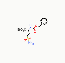 CCOC(=O)C(CCS(N)(=O)=O)NC(=O)OCc1ccccc1